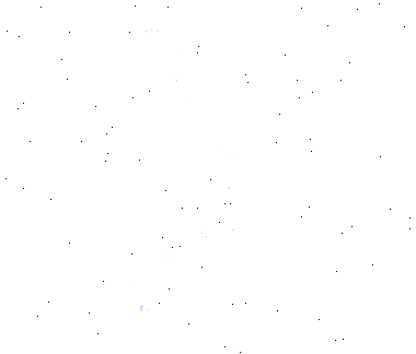 COC(=O)Nc1ccc(C(=O)NC(C[C@@H]2CCCO2)C(=O)N2CCCC3(C2)OC(=O)Nc2ccc(Cl)c(F)c23)cc1